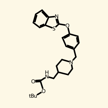 CC(C)(C)OC(=O)NCC1CCN(Cc2ccc(Oc3nc4ccccc4s3)cc2)CC1